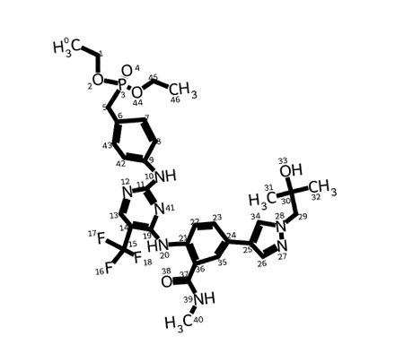 CCOP(=O)(Cc1ccc(Nc2ncc(C(F)(F)F)c(Nc3ccc(-c4cnn(CC(C)(C)O)c4)cc3C(=O)NC)n2)cc1)OCC